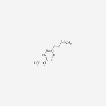 C=CC[CH]c1ccc(OC)cc1